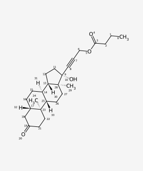 CCCC(=O)OCC#C[C@]1(O)CC[C@H]2[C@@H]3CC[C@H]4CC(=O)CC[C@]4(C)[C@H]3CC[C@@]21C